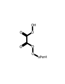 CCCCCOOC(=O)C(=O)OO